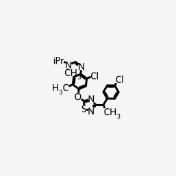 Cc1cc(/N=C\N(C)C(C)C)c(Cl)cc1Oc1nc(C(C)c2ccc(Cl)cc2)ns1